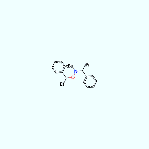 CCC(ON(C(c1ccccc1)C(C)C)C(C)(C)C)c1ccccc1